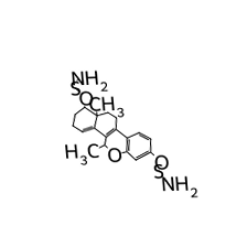 CC1Oc2cc(OSN)ccc2C2=C1C1=CCCC(OSN)C1(C)CC2